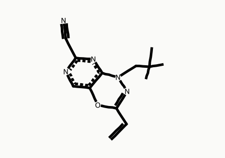 C=CC1=NN(CC(C)(C)C)c2nc(C#N)ncc2O1